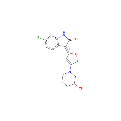 O=C1Nc2cc(F)ccc2/C1=C1\C=C(N2CCCC(O)C2)CO1